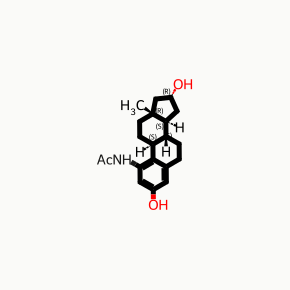 CC(=O)Nc1cc(O)cc2c1[C@H]1CC[C@]3(C)C[C@H](O)C[C@H]3[C@@H]1CC2